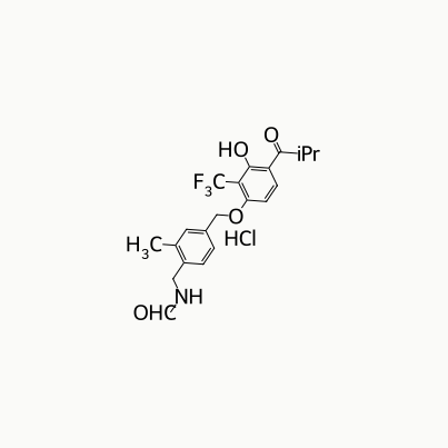 Cc1cc(COc2ccc(C(=O)C(C)C)c(O)c2C(F)(F)F)ccc1CNC=O.Cl